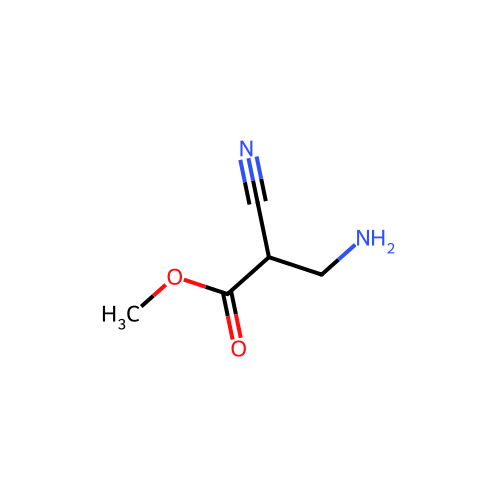 COC(=O)C(C#N)CN